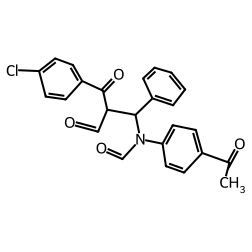 CC(=O)c1ccc(N(C=O)C(c2ccccc2)C(C=O)C(=O)c2ccc(Cl)cc2)cc1